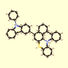 c1ccc(-n2c3ccccc3c3cc(-c4cc5sc6ccccc6n6c7ccccc7c7cccc4c7c5-6)ccc32)cc1